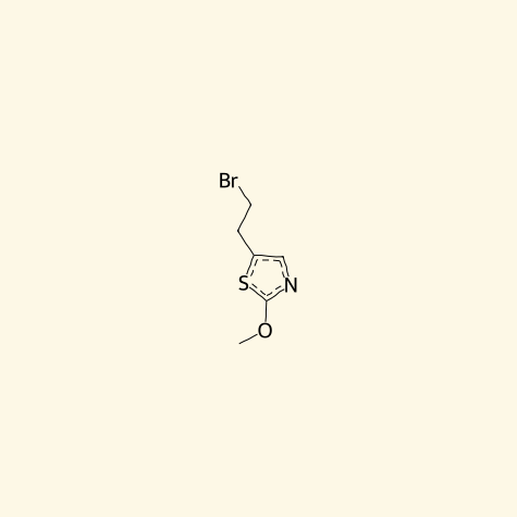 COc1ncc(CCBr)s1